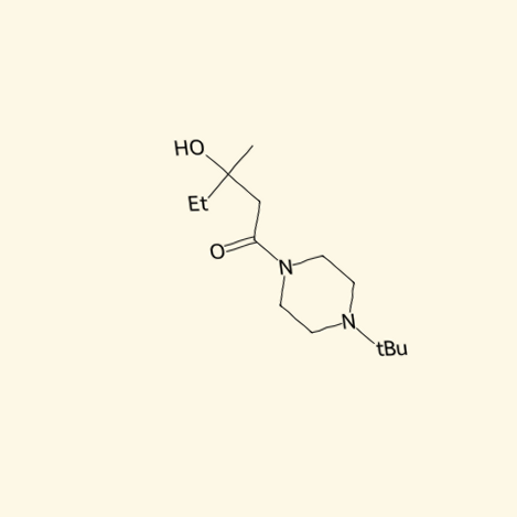 CCC(C)(O)CC(=O)N1CCN(C(C)(C)C)CC1